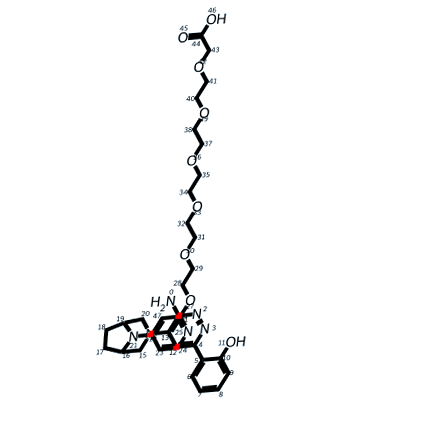 Nc1nnc(-c2ccccc2O)cc1N1CC2CCC(C1)N2c1ccnc(OCCOCCOCCOCCOCCOCC(=O)O)c1